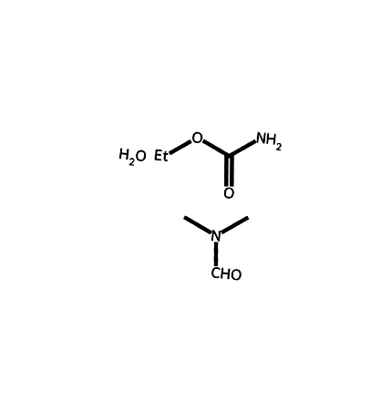 CCOC(N)=O.CN(C)C=O.O